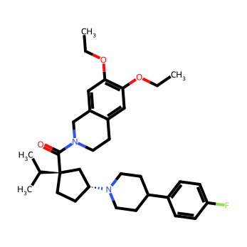 CCOc1cc2c(cc1OCC)CN(C(=O)[C@@]1(C(C)C)CC[C@@H](N3CCC(c4ccc(F)cc4)CC3)C1)CC2